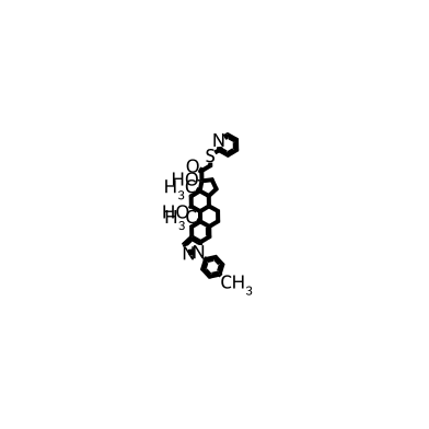 Cc1ccc(-n2ncc3c2C=C2CCC4C([C@@H](O)CC5(C)C4CC[C@]5(O)C(=O)CSc4ccccn4)C2(C)C3)cc1